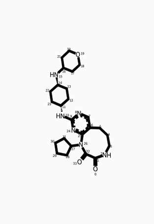 O=C1NCCCc2cnc(N[C@H]3CC[C@H](NC4CCOCC4)CC3)nc2N(C2CCCC2)C1=O